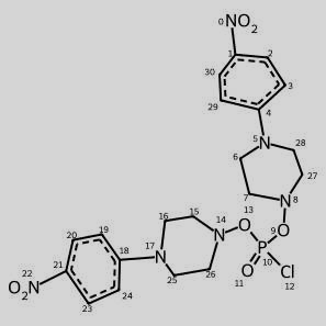 O=[N+]([O-])c1ccc(N2CCN(OP(=O)(Cl)ON3CCN(c4ccc([N+](=O)[O-])cc4)CC3)CC2)cc1